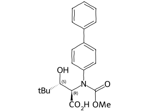 COC(=O)N(c1ccc(-c2ccccc2)cc1)[C@@H](C(=O)O)[C@@H](O)C(C)(C)C